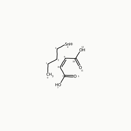 CCC[CH2][SnH].O=C(O)/C=C\C(=O)O